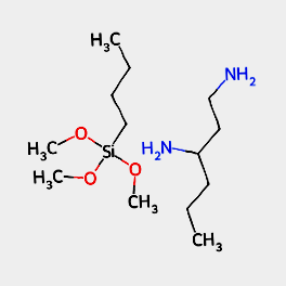 CCCC(N)CCN.CCCC[Si](OC)(OC)OC